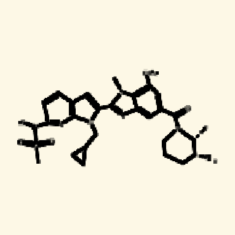 CCN(c1ccc2cc(-c3nc4cc(C(=O)N5CCC[C@@H](N)[C@H]5C)cc(OC)c4n3C)n(CC3CC3)c2n1)S(C)(=O)=O